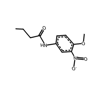 CCCC(=O)Nc1ccc(OC)c([N+](=O)[O-])c1